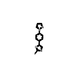 Ic1ncc(-c2ccc(-n3cccn3)cc2)o1